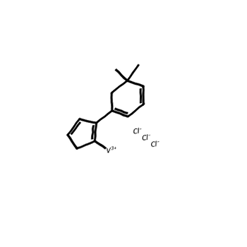 CC1(C)C=CC=C(C2=[C]([V+3])CC=C2)C1.[Cl-].[Cl-].[Cl-]